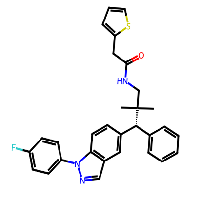 CC(C)(CNC(=O)Cc1cccs1)[C@H](c1ccccc1)c1ccc2c(cnn2-c2ccc(F)cc2)c1